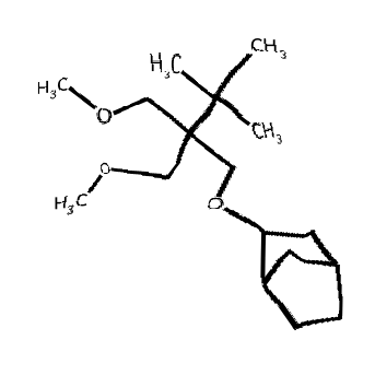 COCC(COC)(COC1CC2CCC1C2)C(C)(C)C